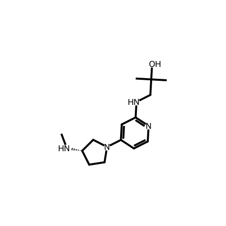 CN[C@H]1CCN(c2ccnc(NCC(C)(C)O)c2)C1